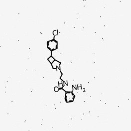 Nc1ccccc1C(=O)NCCN1CC2CC(c3ccc(Cl)cc3)C2C1